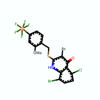 COc1cc(S(F)(F)(F)(F)F)ccc1CSc1[nH]c2c(Br)ccc(Cl)c2c(=O)c1C(C)=O